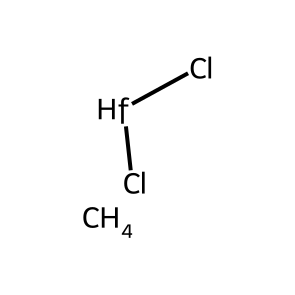 C.[Cl][Hf][Cl]